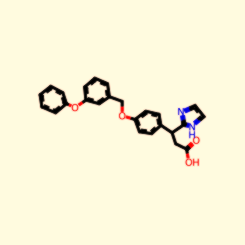 O=C(O)CC(c1ccc(OCc2cccc(Oc3ccccc3)c2)cc1)c1ncc[nH]1